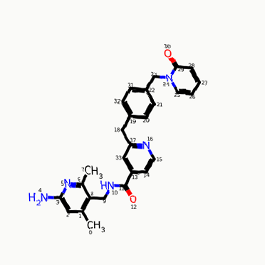 Cc1cc(N)nc(C)c1CNC(=O)c1ccnc(Cc2ccc(Cn3ccccc3=O)cc2)c1